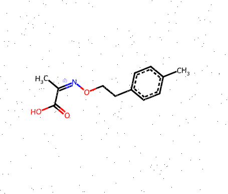 C/C(=N/OCCc1ccc(C)cc1)C(=O)O